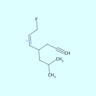 C#CCC(/C=C\CF)CC(C)C